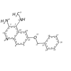 CNc1c(N)cnc2ccc(OCc3ccccc3)cc12